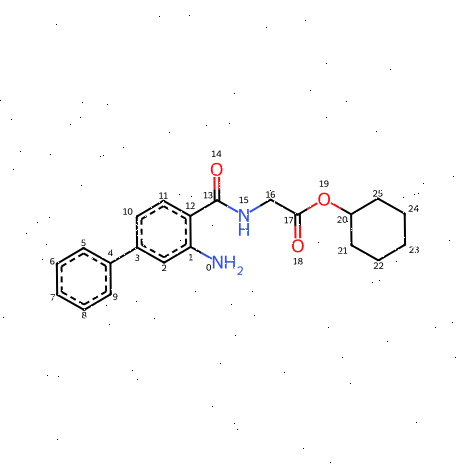 Nc1cc(-c2ccccc2)ccc1C(=O)NCC(=O)OC1CCCCC1